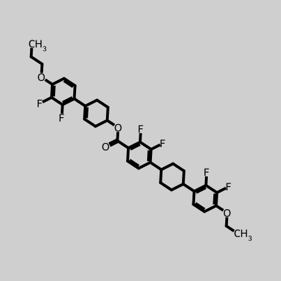 CCCOc1ccc(C2=CCC(OC(=O)c3ccc(C4CCC(c5ccc(OCC)c(F)c5F)CC4)c(F)c3F)CC2)c(F)c1F